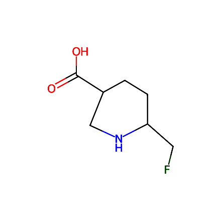 O=C(O)C1CCC(CF)NC1